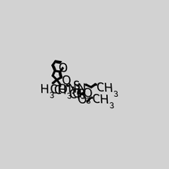 CCCCN(SN(C)C(=O)OC1=C2OC=CC=C2CC1(CC)CC)P1(=O)OCC(C)O1